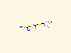 N[C@@H](CSCC(=O)CSC[C@H](N)C(=O)O)C(=O)O